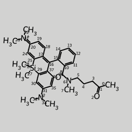 CC(=O)CCCN(C)C(=O)c1ccccc1C1=C2C=CC(=[N+](C)C)C=C2[Si](C)(C)c2cc(N(C)C)ccc21